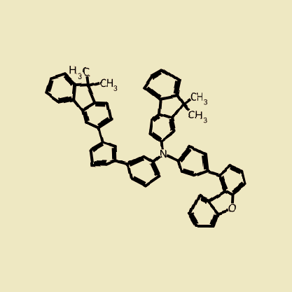 CC1(C)c2ccccc2-c2cc(-c3cccc(-c4cccc(N(c5ccc(-c6cccc7oc8ccccc8c67)cc5)c5ccc6c(c5)C(C)(C)c5ccccc5-6)c4)c3)ccc21